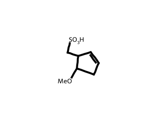 COC1CC=CC1CS(=O)(=O)O